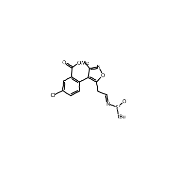 COC(=O)c1cc(Cl)ccc1-c1c(C)noc1C/C=N/[S+]([O-])C(C)(C)C